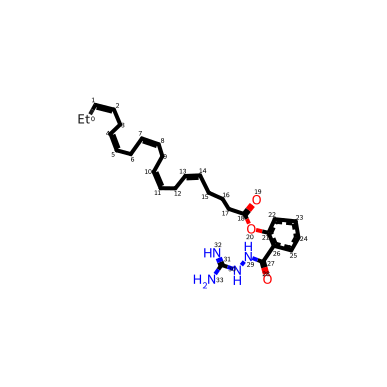 CC/C=C\C/C=C\C/C=C\C/C=C\C/C=C\CCCC(=O)Oc1ccccc1C(=O)NNC(=N)N